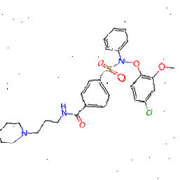 COc1cc(Cl)ccc1ON(c1ccccc1)S(=O)(=O)c1ccc(C(=O)NCCCN2CCCCC2)cc1